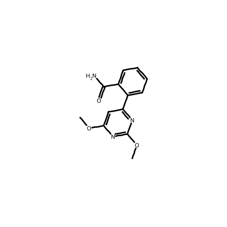 COc1cc(-c2ccccc2C(N)=O)nc(OC)n1